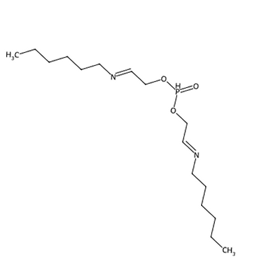 CCCCCCN=CCO[PH](=O)OCC=NCCCCCC